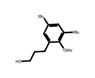 COc1c(CCCO)cc(C(C)(C)C)cc1C(C)(C)C